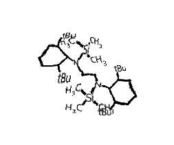 CC(C)(C)C1CCCC(C(C)(C)C)C1N(CCN(C1C(C(C)(C)C)CCCC1C(C)(C)C)[Si](C)(C)C)[Si](C)(C)C